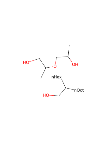 CC(O)COC(C)CO.CCCCCCCCC(CO)CCCCCC